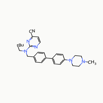 CN1CCN(c2ccc(-c3ccc(CN(CC(C)(C)C)c4nccc(C#N)n4)cc3)cc2)CC1